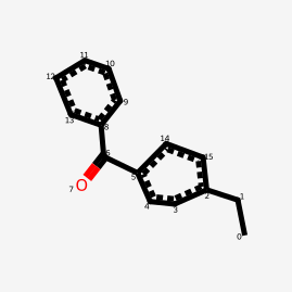 CCc1ccc(C(=O)c2cc[c]cc2)cc1